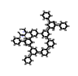 C/C=C\C(=C/C)c1ccccc1-c1nc(-c2ccccc2)nc(-c2cc(-c3ccccc3)cc(-c3cccc(-c4cccc(-c5cccc(-c6nc(-c7ccccc7)nc(-c7ccccc7)n6)c5)c4)c3)c2)n1